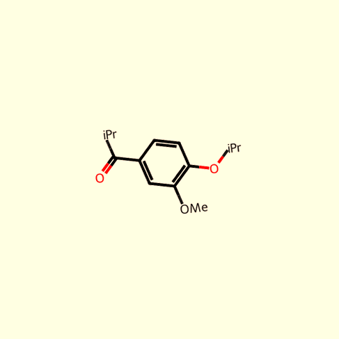 COc1cc(C(=O)C(C)C)ccc1OC(C)C